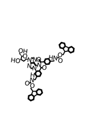 O=C(NCc1ccc(C(=O)N(C(=O)c2ccc(CNC(=O)OCC3c4ccccc4-c4ccccc43)cc2)c2ncnc3c2ncn3[C@H]2C[C@@H](O)[C@@H](CO)O2)cc1)OCC1c2ccccc2-c2ccccc21